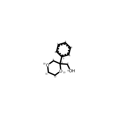 OCC1(c2ccccc2)COCCO1